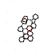 c1ccc(-c2ccccc2-c2c(-c3ccccc3)cccc2N(c2cccc(-c3ccc4c5ccccc5n(-c5ccccc5)c4c3)c2)c2ccccc2-c2ccccc2)cc1